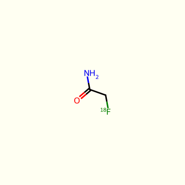 NC(=O)C[18F]